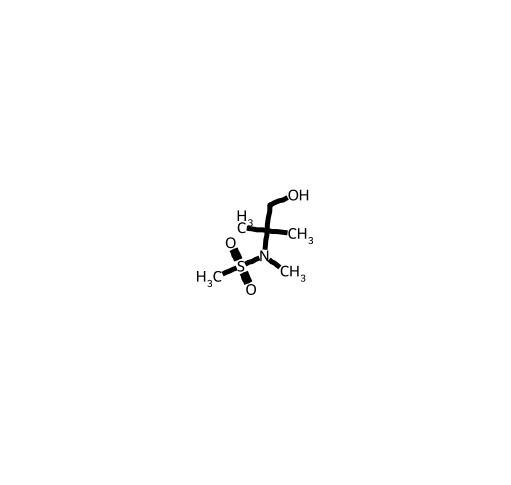 CN(C(C)(C)CO)S(C)(=O)=O